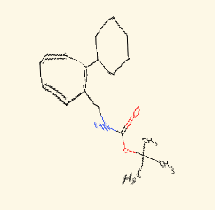 CC(C)(C)OC(=O)NCc1ccc[c]c1C1CCCCC1